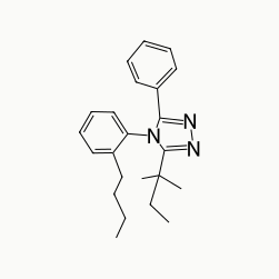 CCCCc1ccccc1-n1c(-c2ccccc2)nnc1C(C)(C)CC